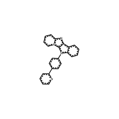 c1ccc(-c2ccc(-n3c4ccccc4c4nc5ccccn5c43)cc2)nc1